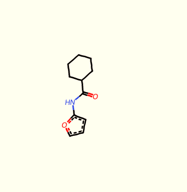 O=C(Nc1ccco1)C1CCCCC1